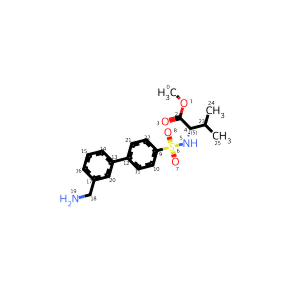 COC(=O)[C@@H](NS(=O)(=O)c1ccc(-c2cccc(CN)c2)cc1)C(C)C